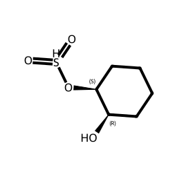 O=[SH](=O)O[C@H]1CCCC[C@H]1O